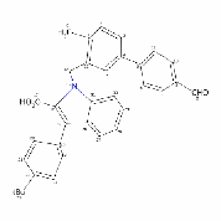 Cc1ccc(-c2ccc(C=O)cc2)cc1Cn1c(C(=O)O)c(-c2ccc(C(C)(C)C)cc2)c2ccccc21